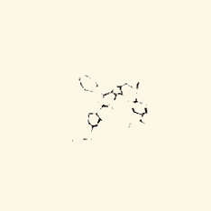 CCNc1ccc(-c2nc(N3CCOCC3)c3sc(CN(C)c4ncc(C(=O)NO)cn4)cc3n2)cc1